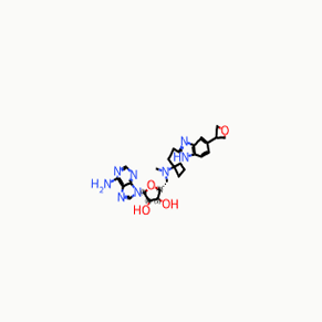 CN(C[C@H]1O[C@@H](n2cnc3c(N)ncnc32)[C@H](O)[C@@H]1O)C1(CCc2nc3cc(C4COC4)ccc3[nH]2)CCC1